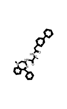 C[C@H](NC(=O)Cc1ccc(-c2ccccc2)cc1)C(=O)N[C@@H]1CN(C)c2ccccc2C(c2ccccc2)=N1